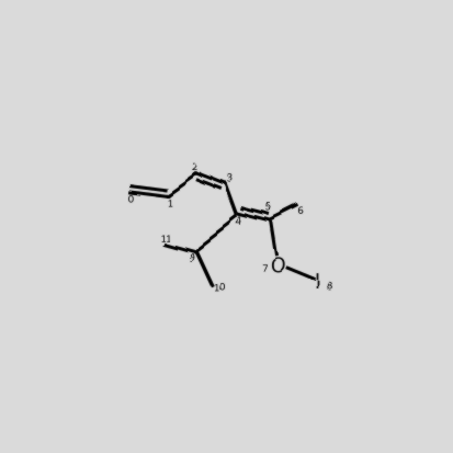 C=C/C=C\C(=C(/C)OI)C(C)C